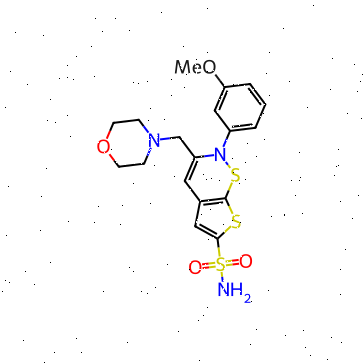 COc1cccc(N2Sc3sc(S(N)(=O)=O)cc3C=C2CN2CCOCC2)c1